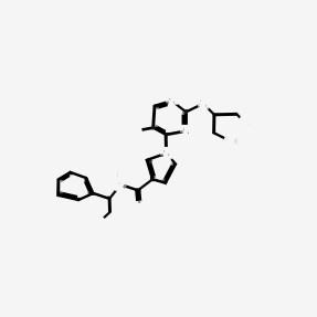 Cc1cnc(NC(CO)CO)nc1-n1ccc(C(=O)NC(CO)c2ccccc2)c1